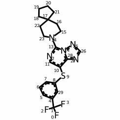 FC(F)(F)c1cccc(Sc2cnc(N3CCC4(CCCC4)CC3)n3ncnc23)c1